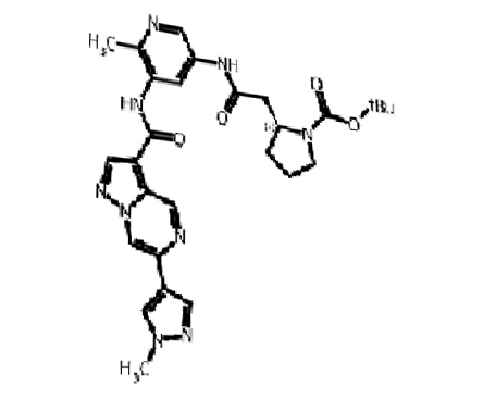 Cc1ncc(NC(=O)C[C@@H]2CCCN2C(=O)OC(C)(C)C)cc1NC(=O)c1cnn2cc(-c3cnn(C)c3)ncc12